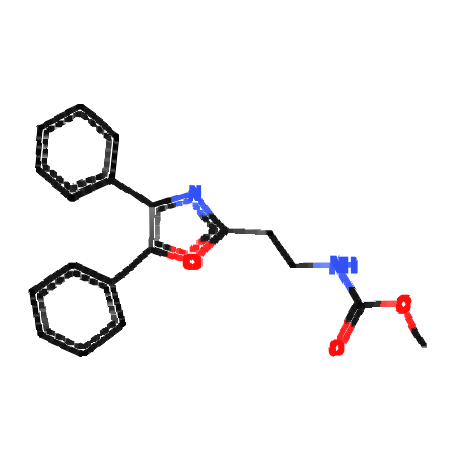 COC(=O)NCCc1nc(-c2ccccc2)c(-c2ccccc2)o1